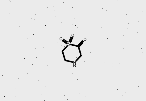 O=C1CNCCS1(=O)=O